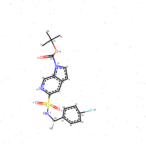 C[C@H](NS(=O)(=O)c1cc2ccn(C(=O)OC(C)(C)C)c2cn1)c1ccc(F)cc1